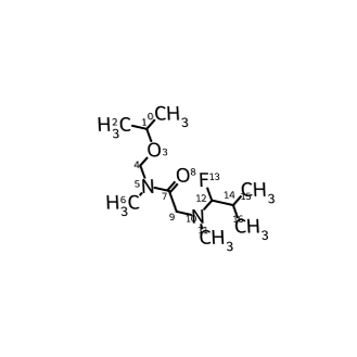 CC(C)OCN(C)C(=O)CN(C)C(F)C(C)C